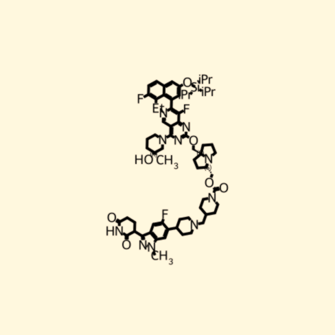 CCc1c(F)ccc2cc(O[Si](C(C)C)(C(C)C)C(C)C)cc(-c3ncc4c(N5CCC[C@@](C)(O)C5)nc(OC[C@@]56CCCN5[C@H](COC(=O)N5CCC(CN7CCC(c8cc9c(cc8F)c(C8CCC(=O)NC8=O)nn9C)CC7)CC5)CC6)nc4c3F)c12